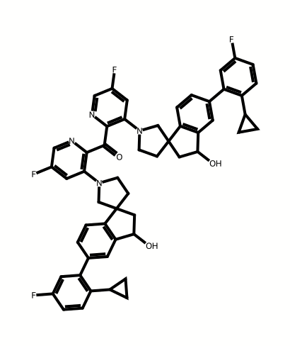 O=C(c1ncc(F)cc1N1CCC2(CC(O)c3cc(-c4cc(F)ccc4C4CC4)ccc32)C1)c1ncc(F)cc1N1CCC2(CC(O)c3cc(-c4cc(F)ccc4C4CC4)ccc32)C1